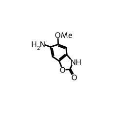 COc1cc2[nH]c(=O)oc2cc1N